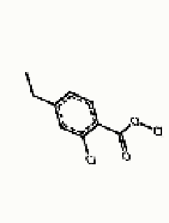 CCc1ccc(C(=O)OCl)c(Cl)c1